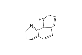 C1=CC2C=CC3=CCCN=C3C2NC1